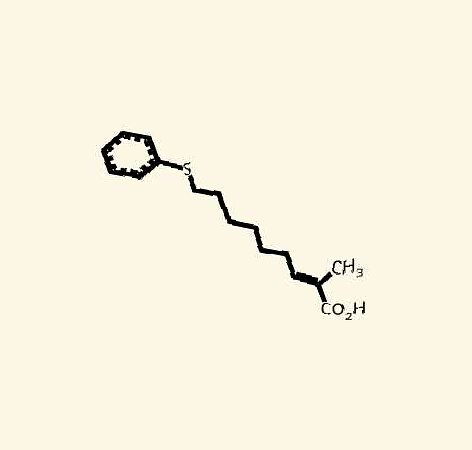 CC(=CCCCCCCSc1ccccc1)C(=O)O